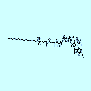 CCCCCCCCCCCCCCCCC(O)C(=O)SCCNC(=O)CCNC(=O)[C@H](O)C(C)(C)COP(=O)(O)OP(=O)(O)OC[C@H]1O[C@@H](n2cnc3c(N)ncnc32)[C@H](O)[C@@H]1OP(=O)(O)O